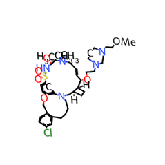 COCCN1CCCN(CCO[C@H]2/C=C/CN(C)C(C)(C)C(=O)NS(=O)(=O)c3ccc4c(c3)N(CCCCc3cc(Cl)ccc3CO4)C[C@@H]3CC[C@H]32)CC1